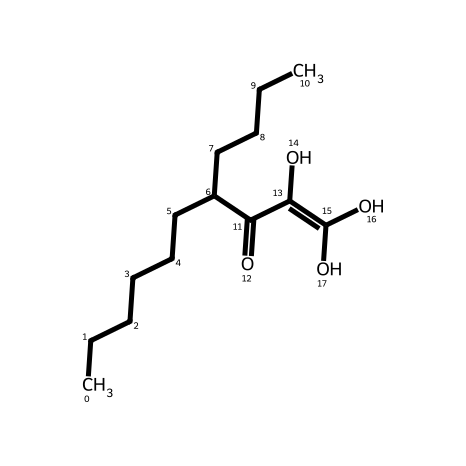 CCCCCCC(CCCC)C(=O)C(O)=C(O)O